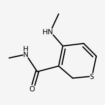 CNC(=O)C1=C(NC)C=CSC1